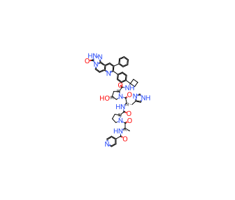 C[C@@H](NC(=O)c1ccncc1)C(=O)N1CCC[C@H]1C(=O)N[C@@H](Cc1c[nH]cn1)C(=O)N1C[C@H](O)C[C@H]1C(=O)NC1(c2ccc(-c3nc4ccn5c(=O)[nH]nc5c4cc3-c3ccccc3)cc2)CCC1